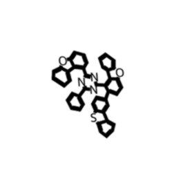 c1ccc(-c2nc(-c3cccc4oc5ccccc5c34)nc(-c3c(-c4ccc5sc6ccccc6c5c4)ccc4oc5ccccc5c34)n2)cc1